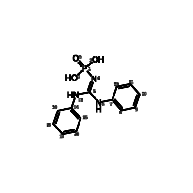 O=P(O)(O)N=C(Nc1ccccc1)Nc1ccccc1